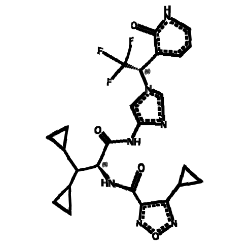 O=C(N[C@H](C(=O)Nc1cn([C@@H](c2ccc[nH]c2=O)C(F)(F)F)cn1)C(C1CC1)C1CC1)c1nonc1C1CC1